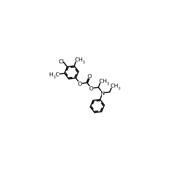 CCN(c1ccccc1)C(C)OC(=O)Oc1cc(C)c(Cl)c(C)c1